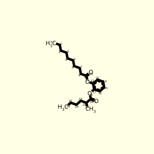 CCCCCCCCCC(=O)Oc1ccccc1OC(=O)C(C)CCCC